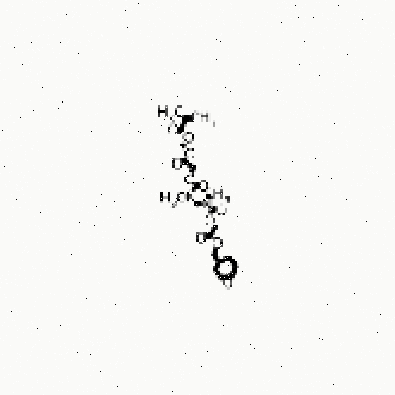 C=C(C)C(=O)OCOC(=O)COC(=O)N(C)CN(C)C(=O)OCC(=O)OCC1CCC2OC2C1